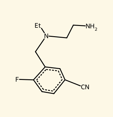 CCN(CCN)Cc1cc(C#N)ccc1F